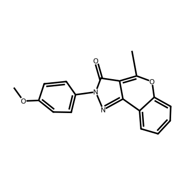 COc1ccc(-n2nc3c4ccccc4oc(C)c-3c2=O)cc1